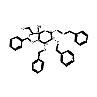 OCC(F)[C@]1(O)O[C@H](COCc2ccccc2)[C@H](OCc2ccccc2)[C@H](OCc2ccccc2)[C@H]1OCc1ccccc1